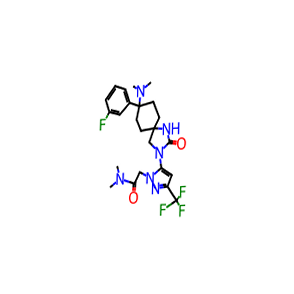 CN(C)C(=O)Cn1nc(C(F)(F)F)cc1N1CC2(CCC(c3cccc(F)c3)(N(C)C)CC2)NC1=O